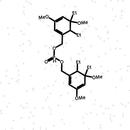 CCC1C(CO[PH](=O)OCC2=CC(OC)=CC(CC)(OC)C2CC)=CC(OC)=CC1(CC)OC